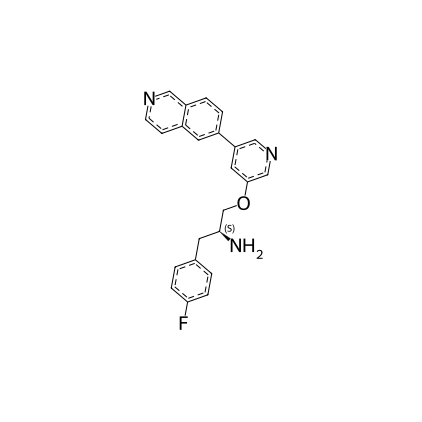 N[C@H](COc1cncc(-c2ccc3cnccc3c2)c1)Cc1ccc(F)cc1